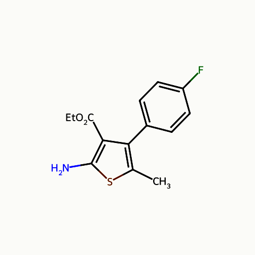 CCOC(=O)c1c(N)sc(C)c1-c1ccc(F)cc1